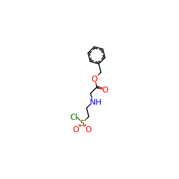 O=C(CNCCS(=O)(=O)Cl)OCc1ccccc1